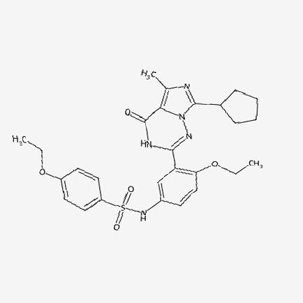 CCOc1ccc(S(=O)(=O)Nc2ccc(OCC)c(-c3nn4c(C5CCCC5)nc(C)c4c(=O)[nH]3)c2)cc1